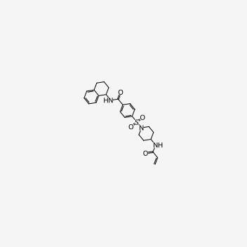 C=CC(=O)NC1CCN(S(=O)(=O)c2ccc(C(=O)NC3CCCc4ccccc43)cc2)CC1